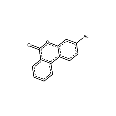 CC(=O)c1ccc2c(c1)oc(=O)c1ccccc12